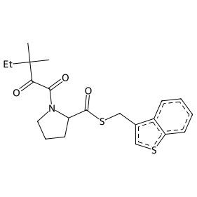 CCC(C)(C)C(=O)C(=O)N1CCCC1C(=O)SCc1csc2ccccc12